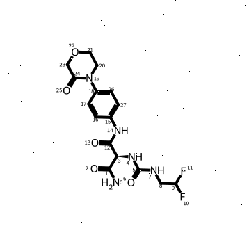 NC(=O)[C@H](NC(=O)NCC(F)F)C(=O)Nc1ccc(N2CCOCC2=O)cc1